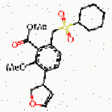 COC(=O)c1c(CS(=O)(=O)C2CCCCC2)ccc(C2C=COC2)c1OC